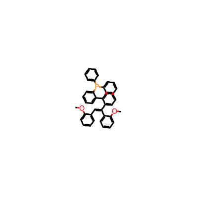 COc1ccccc1/C=C(\c1ccccc1OC)c1ccccc1-c1ccccc1P(c1ccccc1)c1ccccc1